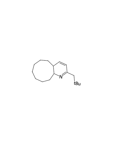 CC(C)(C)CC1=NC2CCCCCCCC2C=C1